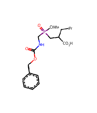 COP(=O)(CNC(=O)OCc1ccccc1)CC(CC(C)C)C(=O)O